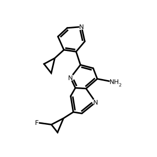 Nc1cc(-c2cnccc2C2CC2)nc2cc(C3CC3F)cnc12